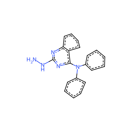 NNc1nc(N(c2ccccc2)c2ccccc2)c2ccccc2n1